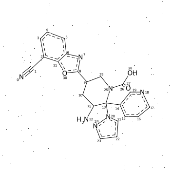 N#Cc1cccc2nc(C3CC(N)C(c4cccnc4)(n4cccn4)N(C(=O)O)C3)oc12